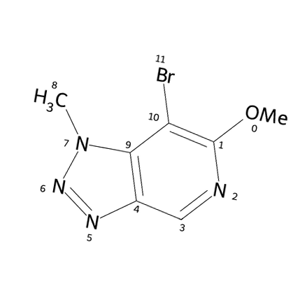 COc1ncc2nnn(C)c2c1Br